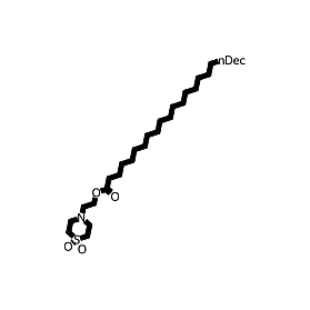 CCCCCCCCCCCCCCCCCCCCCCCCCCCC(=O)OCCN1CCS(=O)(=O)CC1